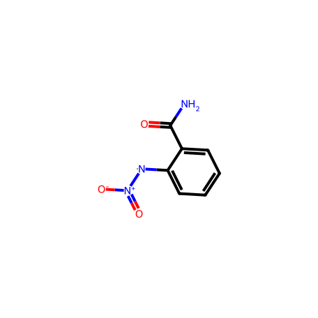 NC(=O)c1ccccc1[N][N+](=O)[O-]